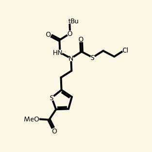 COC(=O)c1ccc(CCN(NC(=O)OC(C)(C)C)C(=O)SCCCl)s1